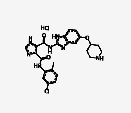 Cc1ccc(Cl)cc1NC(=O)c1nc[nH]c1C(=O)Nc1nc2cc(OC3CCNCC3)ccc2[nH]1.Cl